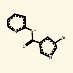 O=C(Nc1ccccn1)c1cncc(Br)c1